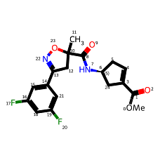 COC(=O)C1=CC[C@H](NC(=O)C2(C)CC(c3cc(F)cc(F)c3)=NO2)C1